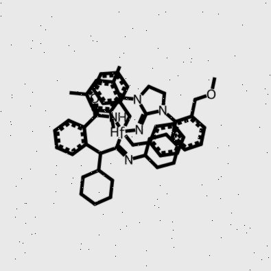 COCc1ccccc1N1CCN(c2c(C)cc(C)cc2C)C1=[N][Hf]1([CH2]c2ccccc2)([CH2]c2ccccc2)[NH]C(=O)c2ccccc2C(C2CCCCC2)[C]1=NC1CCCCC1